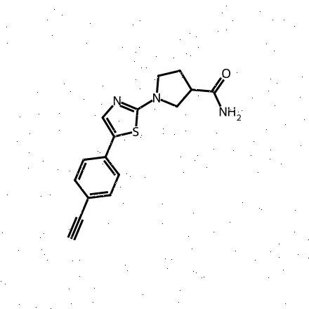 C#Cc1ccc(-c2cnc(N3CCC(C(N)=O)C3)s2)cc1